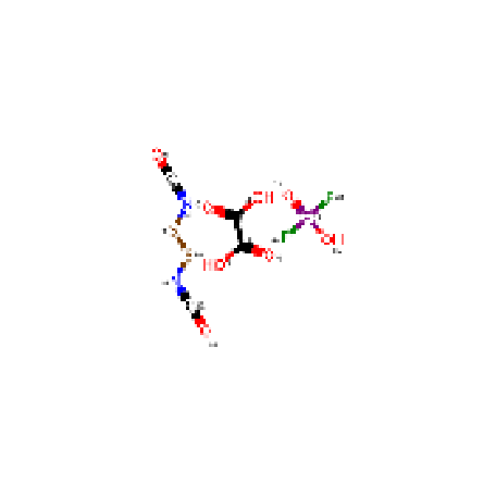 O=C(O)C(=O)O.O=C=NSSN=C=O.O=P(O)(F)F